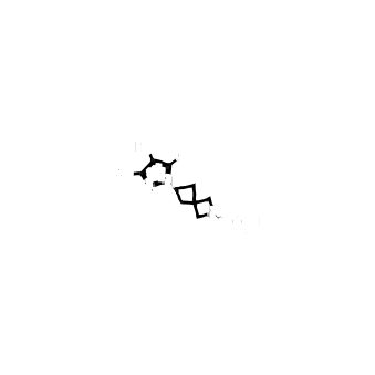 CC(=O)c1nn(C2CC3(C2)CN(C(=O)O)C3)c(C)c1Br